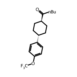 CCCCC(=O)[C@H]1CC[C@H](c2ccc(OC(F)(F)F)cc2)CC1